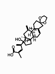 C=C1C[C@@]2(C)[C@@H](CC[C@]2(O)C(=C)C=C(C)C(=O)O)[C@@H]2CC=C3CC4(CC[C@@H]3[C@@H]12)OCCO4